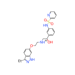 CCc1n[nH]c2cc(OCCNC[C@H](O)c3cccc(NS(=O)(=O)c4ccccn4)c3)ccc12